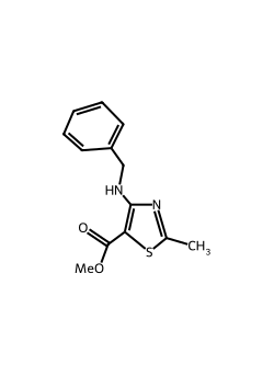 COC(=O)c1sc(C)nc1NCc1ccccc1